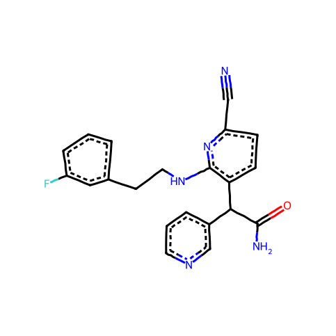 N#Cc1ccc(C(C(N)=O)c2cccnc2)c(NCCc2cccc(F)c2)n1